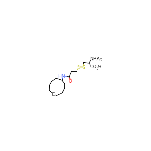 CC(=O)NC(CSSCCC(=O)NC1CCCCCCCCC1)C(=O)O